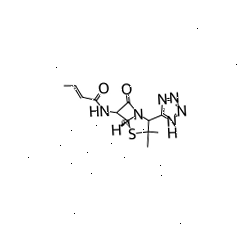 CC=CC(=O)NC1C(=O)N2C(c3nnn[nH]3)C(C)(C)S[C@H]12